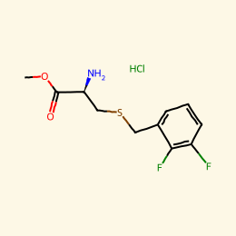 COC(=O)[C@@H](N)CSCc1cccc(F)c1F.Cl